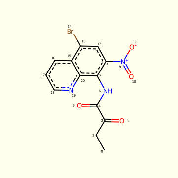 CCC(=O)C(=O)Nc1c([N+](=O)[O-])cc(Br)c2cccnc12